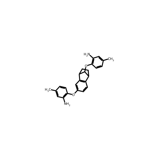 Cc1ccc(Oc2ccc3c(c2)C2CCC3C2Oc2ccc(C)cc2N)c(N)c1